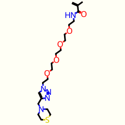 C=C(C)C(=O)NCCOCCOCCOCCOCCn1cc(CN2CCSCC2)nn1